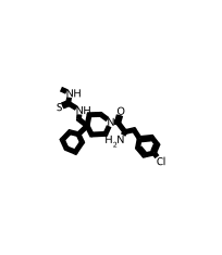 CNC(=S)NCC1(C2CCCCC2)CCN(C(=O)C(N)Cc2ccc(Cl)cc2)CC1